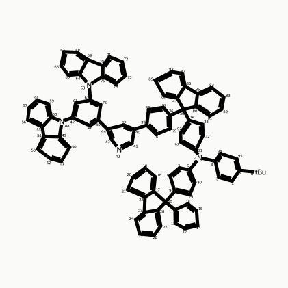 CC(C)(C)c1ccc(N(c2ccc(C3(c4ccccc4)c4ccccc4-c4ccccc43)cc2)c2ccc(C3(c4ccc(-c5cncc(-c6cc(-n7c8ccccc8c8ccccc87)cc(-n7c8ccccc8c8ccccc87)c6)c5)cc4)c4ccccc4-c4ccccc43)cc2)cc1